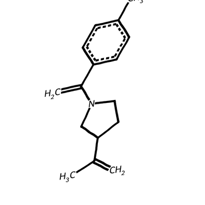 C=C(C)C1CCN(C(=C)c2ccc(C)cc2)C1